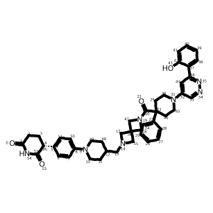 O=C1CC[C@H](c2ccc(N3CCC(CN4CC5(C4)CN(C(=O)C4(c6ccccc6)CCN(c6cnnc(-c7ccccc7O)c6)CC4)C5)CC3)cc2)C(=O)N1